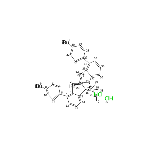 CCC1=Cc2c(-c3ccc(C(C)CC)cc3)cccc2[CH]1[Zr]([CH3])([CH3])(=[SiH2])[CH]1C(C(C)C)=Cc2c(-c3ccc(C(C)CC)cc3)cccc21.Cl.Cl